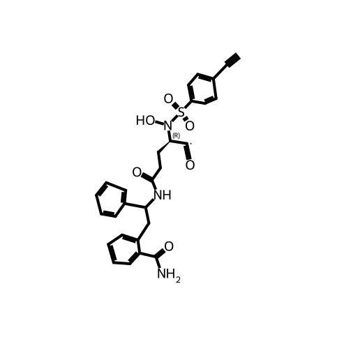 C#Cc1ccc(S(=O)(=O)N(O)[C@@H]([C]=O)CCC(=O)NC(Cc2ccccc2C(N)=O)c2ccccc2)cc1